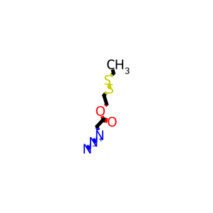 CCSSCCOC(=O)CN=[N+]=[N-]